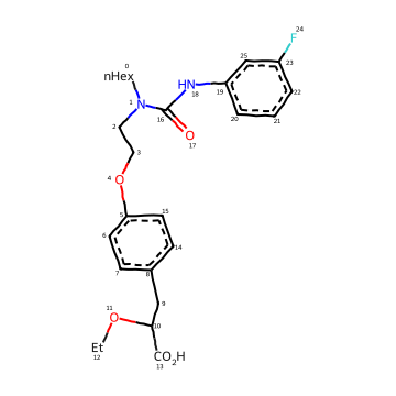 CCCCCCN(CCOc1ccc(CC(OCC)C(=O)O)cc1)C(=O)Nc1cccc(F)c1